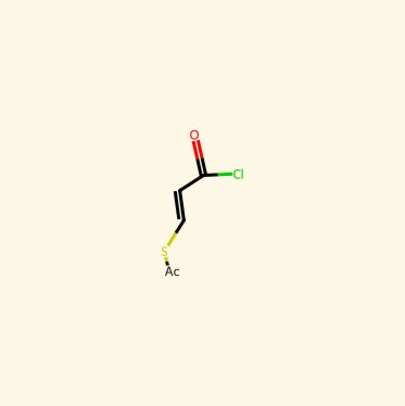 CC(=O)SC=CC(=O)Cl